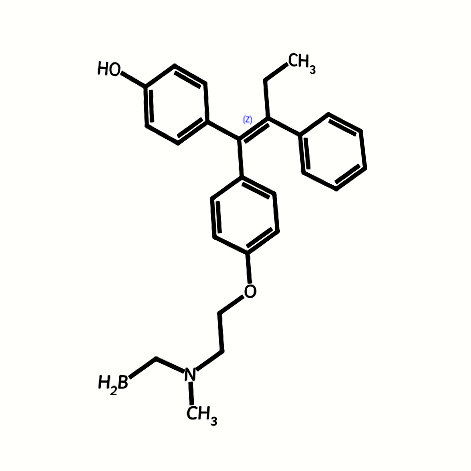 BCN(C)CCOc1ccc(/C(=C(/CC)c2ccccc2)c2ccc(O)cc2)cc1